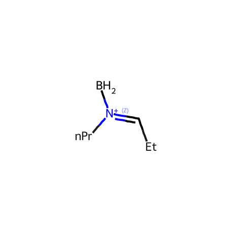 B/[N+](=C/CC)CCC